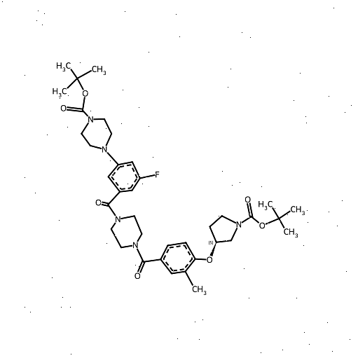 Cc1cc(C(=O)N2CCN(C(=O)c3cc(F)cc(N4CCN(C(=O)OC(C)(C)C)CC4)c3)CC2)ccc1O[C@H]1CCN(C(=O)OC(C)(C)C)C1